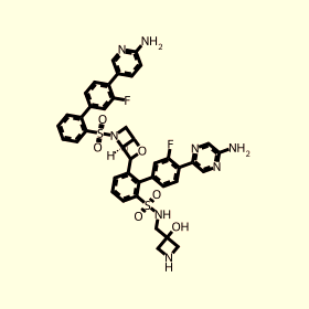 Nc1ccc(-c2ccc(-c3ccccc3S(=O)(=O)N3CC4OC(c5cccc(S(=O)(=O)NCC6(O)CNC6)c5-c5ccc(-c6cnc(N)cn6)c(F)c5)[C@H]43)cc2F)cn1